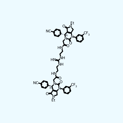 CCN1CC2=C(C1=O)[C@@H](c1ccc(C#N)cc1)N(CC(=O)NCCNC(=N)NCCNC(=O)CN1C(=O)N(c3cccc(C(F)(F)F)c3)C3=C(C(=O)N(CC)C3)[C@H]1c1ccc(C#N)cc1)C(=O)N2c1cccc(C(F)(F)F)c1